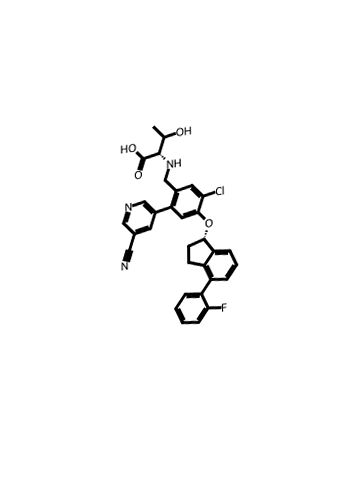 CC(O)[C@H](NCc1cc(Cl)c(O[C@H]2CCc3c(-c4ccccc4F)cccc32)cc1-c1cncc(C#N)c1)C(=O)O